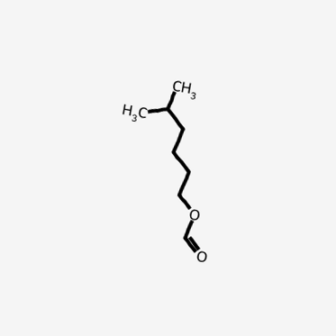 CC(C)CCCCOC=O